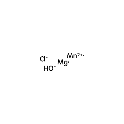 [Cl-].[Mg].[Mn+2].[OH-]